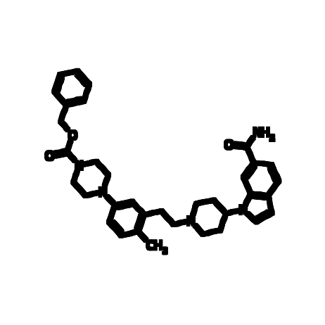 Cc1ccc(N2CCN(C(=O)OCc3ccccc3)CC2)cc1CCN1CCC(n2ccc3ccc(C(N)=O)cc32)CC1